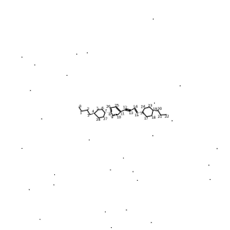 CCCC[C@H]1CC[C@H](c2ccc(C#C/C=C/[C@H]3CC[C@H](CCC)CC3)cc2)CC1